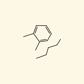 CCCCC.Cc1ccccc1C